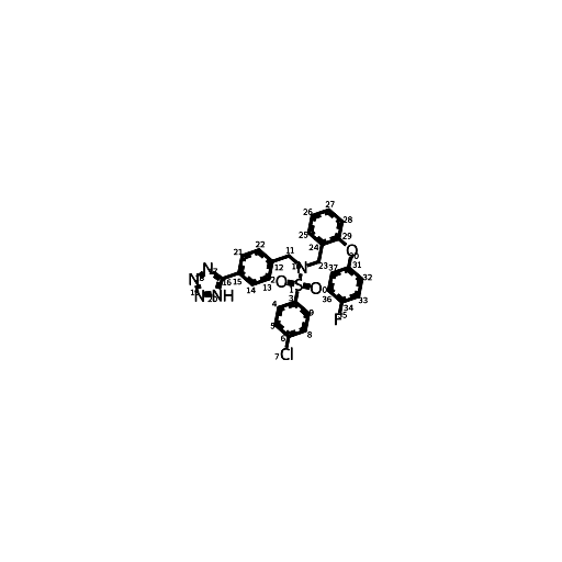 O=S(=O)(c1ccc(Cl)cc1)N(Cc1ccc(-c2nnn[nH]2)cc1)Cc1ccccc1Oc1ccc(F)cc1